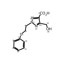 O=C(O)c1nn(CCSc2ccccc2)nc1CO